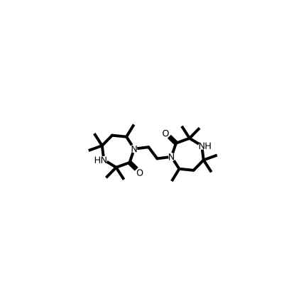 CC1CC(C)(C)NC(C)(C)C(=O)N1CCN1C(=O)C(C)(C)NC(C)(C)CC1C